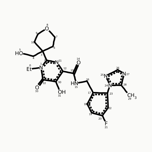 CCn1c(C2(CO)CCOCC2)nc(C(=O)NCc2ccc(F)cc2-n2ncnc2C)c(O)c1=O